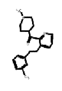 Cc1cccc(CCc2cccnc2C(=O)C2CCN(C)CC2)c1